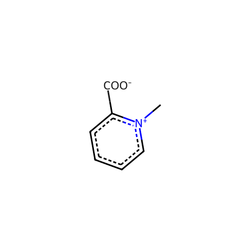 C[n+]1ccccc1C(=O)[O-]